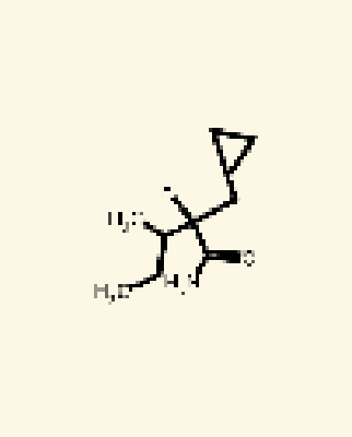 CCC(C)C(F)(CC1CC1)C(N)=O